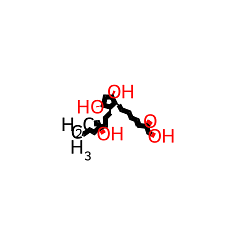 C=CC(O)(CCCC)CCC[C@@H]1[C@@H](CCCCC=CC(=O)CO)[C@H](O)C[C@H]1O